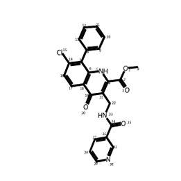 COC(=O)c1[nH]c2c(-c3ccccc3)c(Cl)ccc2c(=O)c1CNC(=O)c1cccnc1